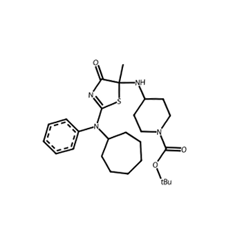 CC(C)(C)OC(=O)N1CCC(NC2(C)SC(N(c3ccccc3)C3CCCCCC3)=NC2=O)CC1